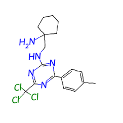 Cc1ccc(-c2nc(NCC3(N)CCCCC3)nc(C(Cl)(Cl)Cl)n2)cc1